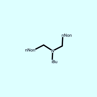 CCCCCCCCCCN(CCCCCCCCCC)C(C)CC